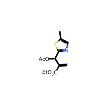 C=C(C(=O)OCC)C(OC(C)=O)c1ncc(C)s1